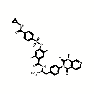 Cn1c(=O)n(-c2ccc(C[C@H](NC(=O)c3cc(F)c(NS(=O)(=O)c4ccc(C(=O)NC5CC5)cc4)cc3F)C(=O)O)cc2)c(=O)c2ccncc21